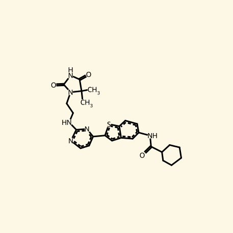 CC1(C)C(=O)NC(=O)N1CCNc1nccc(-c2cc3cc(NC(=O)C4CCCCC4)ccc3s2)n1